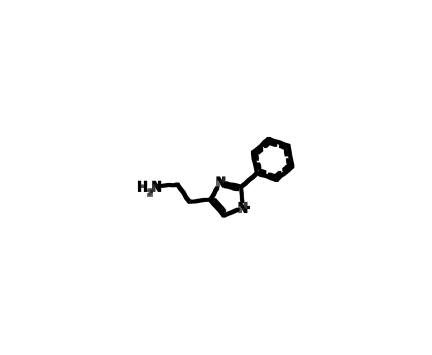 NCCC1=C[N]C(c2ccccc2)=N1